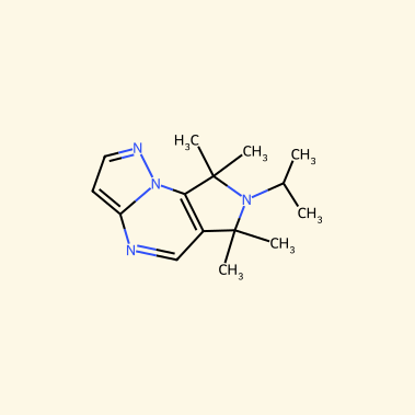 CC(C)N1C(C)(C)c2cnc3ccnn3c2C1(C)C